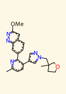 COc1cc2ccc(-c3nc(C)ccc3-c3cnn(CC4(C)CCOC4)c3)cc2nn1